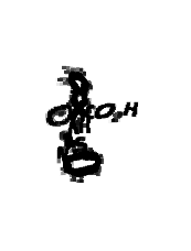 O=C(O)CC1(C(=O)NCc2nc3ccccc3s2)Cc2ccccc2C1